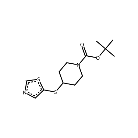 CC(C)(C)OC(=O)N1CCC(Sc2cn[c]s2)CC1